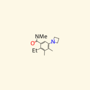 CCc1c(C(=O)NC)cc(N2CCC2)c(C)c1C